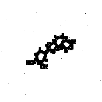 Oc1ccc(-c2nc3ccc4[nH]ncc4c3s2)cc1O